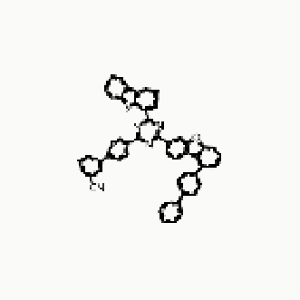 N#Cc1cccc(-c2ccc(-c3nc(-c4ccc5c(c4)oc4cccc(-c6ccc(-c7ccccc7)cc6)c45)nc(-c4cccc5c4sc4ccccc45)n3)cc2)c1